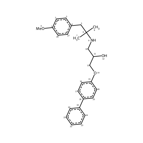 COc1ccc(CC(C)(C)NCC(O)COc2ccc(-c3ccccc3)cc2)cc1